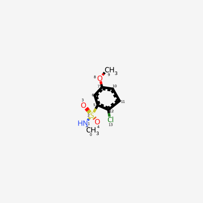 CNS(=O)(=O)c1cc(OC)ccc1Cl